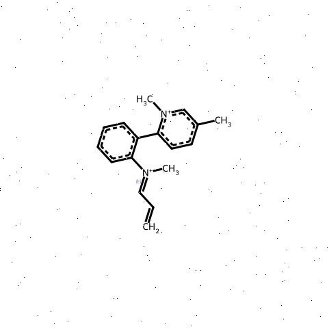 C=C/C=[N+](\C)c1ccccc1-c1ccc(C)c[n+]1C